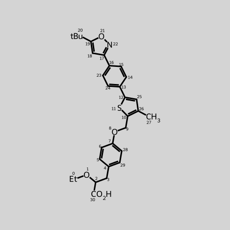 CCOC(Cc1ccc(OCc2sc(-c3ccc(-c4cc(C(C)(C)C)on4)cc3)cc2C)cc1)C(=O)O